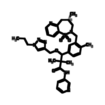 CCCn1cc(COC(c2ccc(C)c(CN3C[C@@H](C)Cc4ncccc4S3(=O)=O)c2)C(C)(C)C(=O)Nc2cccnc2)nn1